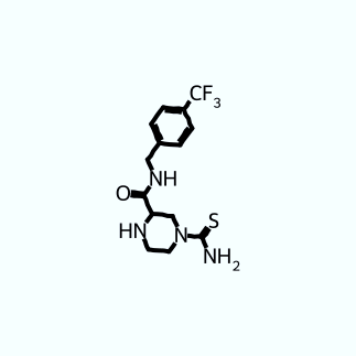 NC(=S)N1CCNC(C(=O)NCc2ccc(C(F)(F)F)cc2)C1